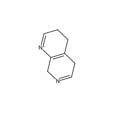 C1=NCC2=C(C1)CCC=[N+]2